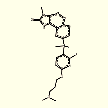 CN(C)CCCOc1ccc(C(C)(C)c2ccc3nnc4c([nH]c(=O)n4C)c3c2)c(F)n1